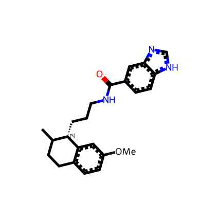 COc1ccc2c(c1)[C@@H](CCCNC(=O)c1ccc3[nH]cnc3c1)C(C)CC2